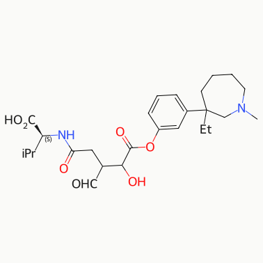 CCC1(c2cccc(OC(=O)C(O)C(C=O)CC(=O)N[C@H](C(=O)O)C(C)C)c2)CCCCN(C)C1